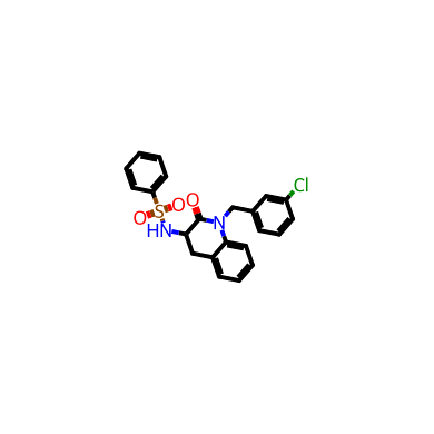 O=C1C(NS(=O)(=O)c2ccccc2)Cc2ccccc2N1Cc1cccc(Cl)c1